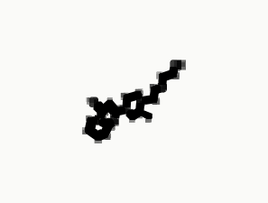 C[C@H]1CN(c2cc(=O)n3ccccc3n2)CCN1CCOCCO